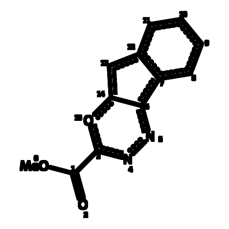 COC(=O)c1nnc2c3ccccc3cc-2o1